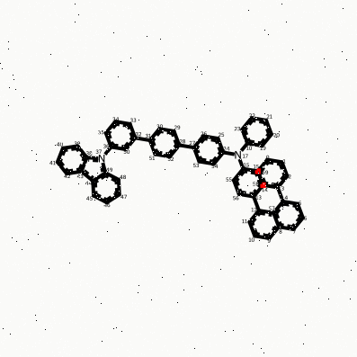 c1ccc(-c2cccc3cccc(-c4ccc(N(c5ccccc5)c5ccc(-c6ccc(-c7cccc(-n8c9ccccc9c9ccccc98)c7)cc6)cc5)cc4)c23)cc1